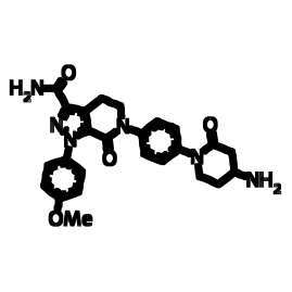 COc1ccc(-n2nc(C(N)=O)c3c2C(=O)N(c2ccc(N4CCC(N)CC4=O)cc2)CC3)cc1